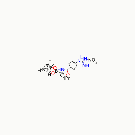 CC(C)C[C@H](NC(=O)[C]1C=CC(NC(=N)N[N+](=O)[O-])=CC1)B1O[C@@H]2C[C@@H]3C[C@@H](C3(C)C)[C@]2(C)O1